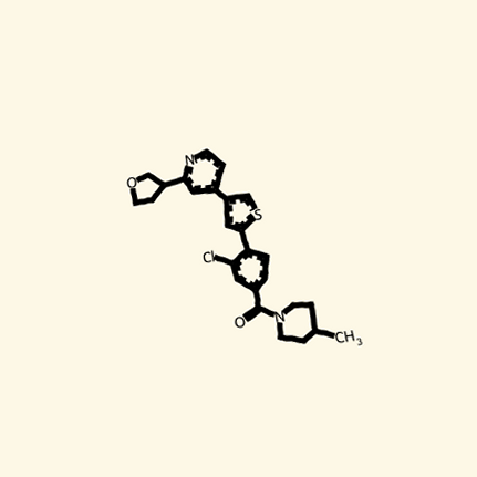 CC1CCN(C(=O)c2ccc(-c3cc(-c4ccnc(C5CCOC5)c4)cs3)c(Cl)c2)CC1